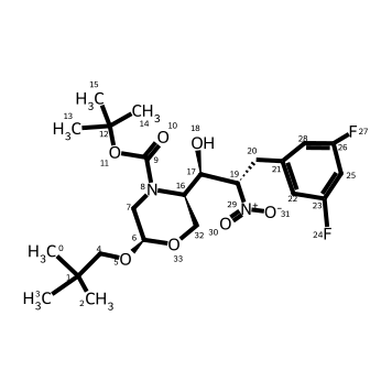 CC(C)(C)CO[C@H]1CN(C(=O)OC(C)(C)C)[C@@H]([C@@H](O)[C@H](Cc2cc(F)cc(F)c2)[N+](=O)[O-])CO1